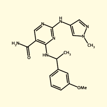 COc1cccc(C(C)Nc2nc(Nc3cnn(C)c3)ncc2C(N)=O)c1